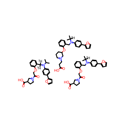 [2H]C(C)(C)N(Cc1ccccc1OC1CCCN(CCC(=O)O)C1)c1ccc(-c2ccco2)cc1.[2H]C(C)(C)N(Cc1ccccc1OCC(=O)N1CCC(C(=O)O)C1)c1ccc(-c2ccco2)cc1.[2H]C([2H])(c1ccccc1OCC(=O)N1CCC(C(=O)O)C1)N(c1ccc(-c2ccco2)cc1)C(C)C